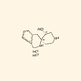 Cl.Cl.O[C@@H]1CNCC[C@]12Cc1ccccc1CN2